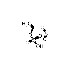 C=COS(=O)(=O)O.O=S=O